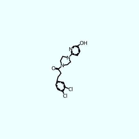 O=C(CCc1ccc(Cl)c(Cl)c1)N1CCN(c2ccc(O)cn2)CC1